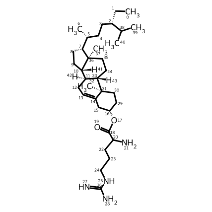 CC[C@@H](CC[C@@H](C)[C@H]1CC[C@H]2[C@@H]3CC=C4C[C@@H](OC(=O)C(N)CCCNC(=N)N)CC[C@]4(C)[C@H]3CC[C@]12C)C(C)C